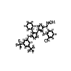 ON=Cc1nnc(-c2nnn(Cc3cc(C(F)(F)F)cc(C(F)(F)F)c3)c2-c2ccccc2)n1Cc1ccccc1Cl